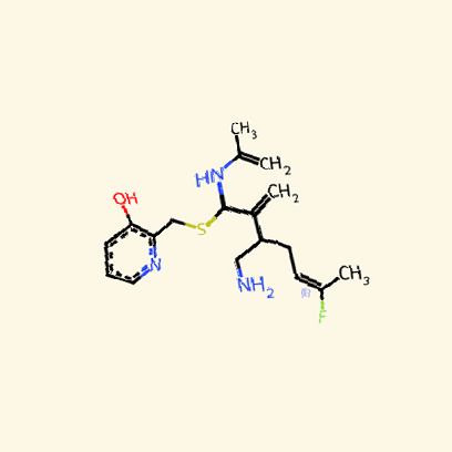 C=C(C)NC(SCc1ncccc1O)C(=C)C(CN)C/C=C(\C)F